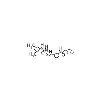 Cc1cc(C)cc(NC(=O)Nc2nc(-c3cccc(NC(=O)CN4CCOCC4)c3)cs2)c1